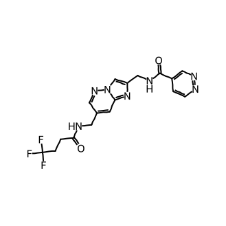 O=C(CCC(F)(F)F)NCc1cnn2cc(CNC(=O)c3ccnnc3)nc2c1